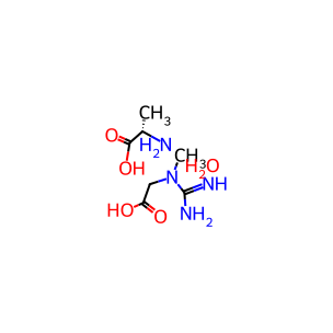 CN(CC(=O)O)C(=N)N.C[C@H](N)C(=O)O.O